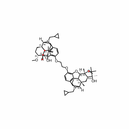 CO[C@]1(C)[C@@H]([C@](C)(O)C(C)(C)C)C[C@]2(C)[C@H]3Cc4ccc(OCCOc5ccc6c7c5O[C@@]5(C)[C@]78CCN(CC7CC7)[C@H](C6)[C@]86CC[C@@]5(OC)[C@@H]([C@](C)(O)C(C)(C)C)C6)c5c4[C@@]2(CCN3CC2CC2)[C@H]1O5